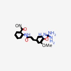 COc1cc(/C=C/C(=O)Nc2ccccc2C(=O)N=O)ccc1OC(N)(N)N